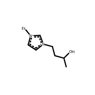 CC[n+]1ccn(CCC(C)O)c1